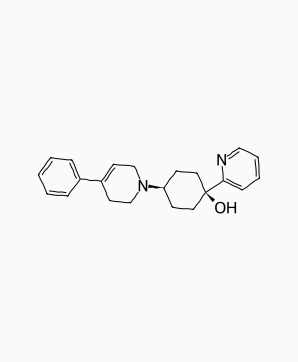 O[C@]1(c2ccccn2)CC[C@H](N2CC=C(c3ccccc3)CC2)CC1